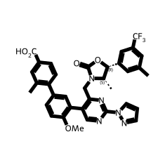 COc1ccc(-c2ccc(C(=O)O)cc2C)cc1-c1cnc(-n2cccn2)nc1CN1C(=O)O[C@H](c2cc(C)cc(C(F)(F)F)c2)[C@@H]1C